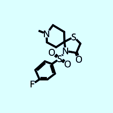 CN1CCC2(CC1)SCC(=O)N2S(=O)(=O)c1ccc(F)cc1